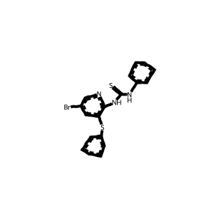 S=C(Nc1ccccc1)Nc1ncc(Br)cc1Sc1ccccc1